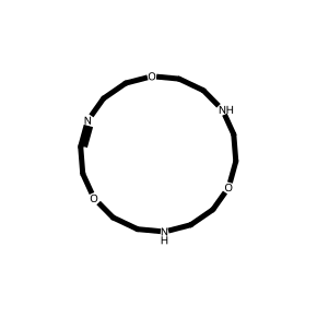 C1=NCCOCCNCCOCCNCCOC1